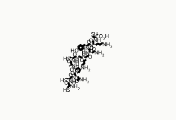 C[C@H](NC(=O)[C@@H]1CCCN1C(=O)[C@H](CC(N)=O)NC(=O)[C@H](CS)NC(=O)[C@@H](N)CS)C(=O)N[C@@H](CS)C(=O)NCC(=O)N[C@@H](CCCCN)C(=O)N[C@@H](CC(N)=O)C(=O)N[C@@H](Cc1ccc(O)cc1)C(=O)N[C@@H](CCCCN)C(=O)N[C@@H](CS)C(=O)O